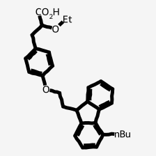 CCCCc1cccc2c1-c1ccccc1C2CCOc1ccc(CC(OCC)C(=O)O)cc1